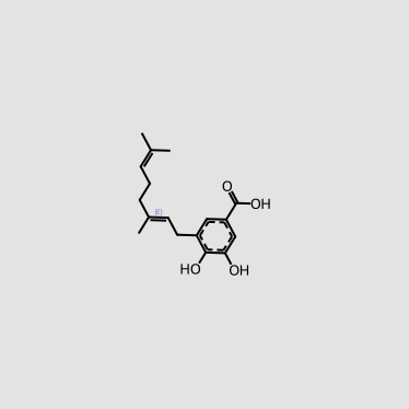 CC(C)=CCC/C(C)=C/Cc1cc(C(=O)O)cc(O)c1O